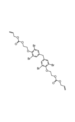 C=CCOC(=O)OCCOc1c(Br)cc(Cc2cc(Br)c(OCCOC(=O)OCC=C)c(Br)c2)cc1Br